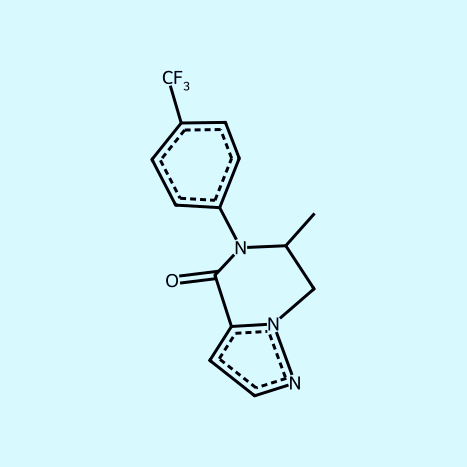 CC1Cn2nccc2C(=O)N1c1ccc(C(F)(F)F)cc1